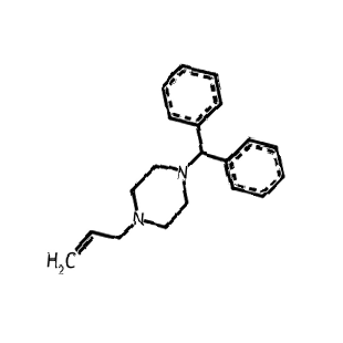 C=CCN1CCN(C(c2ccccc2)c2ccccc2)CC1